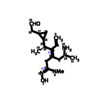 C=C/C(=C(/C/C(=N/O)NC)CN(C)N)[C@H](C)C1CC1CC=O